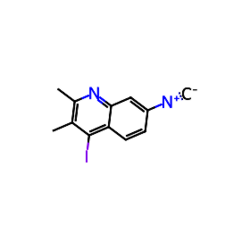 [C-]#[N+]c1ccc2c(I)c(C)c(C)nc2c1